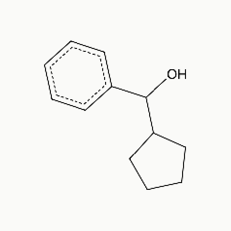 OC(c1ccccc1)C1CCCC1